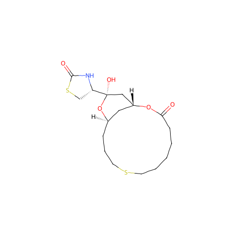 O=C1CCCCCSCCC[C@@H]2C[C@H](C[C@](O)([C@@H]3CSC(=O)N3)O2)O1